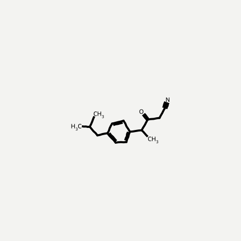 CC(C)Cc1ccc(C(C)C(=O)CC#N)cc1